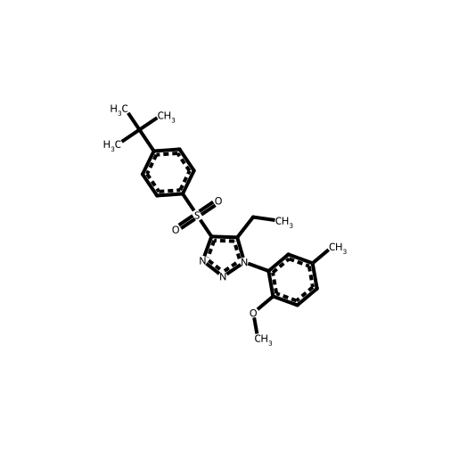 CCc1c(S(=O)(=O)c2ccc(C(C)(C)C)cc2)nnn1-c1cc(C)ccc1OC